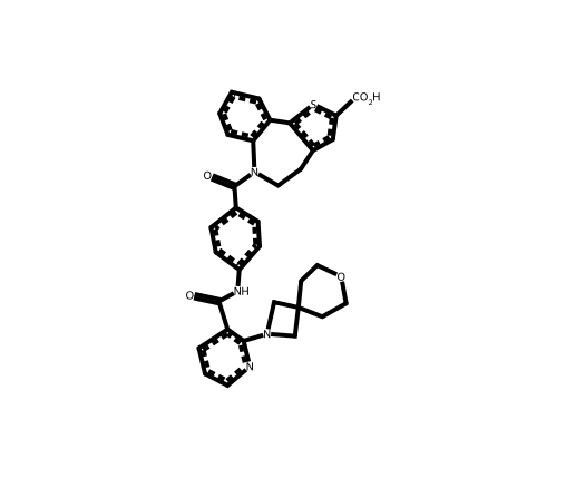 O=C(O)c1cc2c(s1)-c1ccccc1N(C(=O)c1ccc(NC(=O)c3cccnc3N3CC4(CCOCC4)C3)cc1)CC2